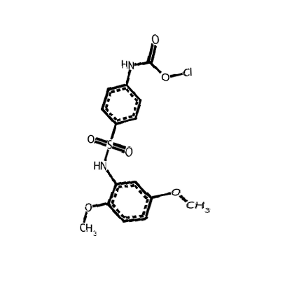 COc1ccc(OC)c(NS(=O)(=O)c2ccc(NC(=O)OCl)cc2)c1